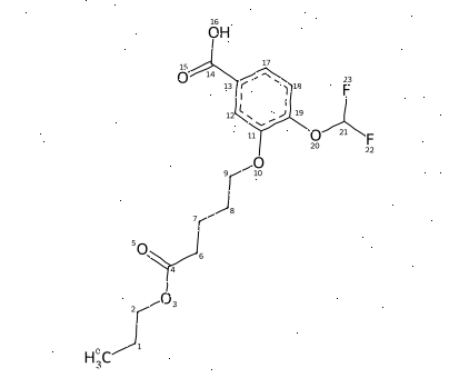 CCCOC(=O)CCCCOc1cc(C(=O)O)ccc1OC(F)F